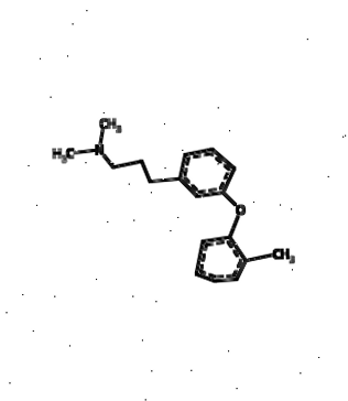 Cc1ccccc1Oc1cccc(CCCN(C)C)c1